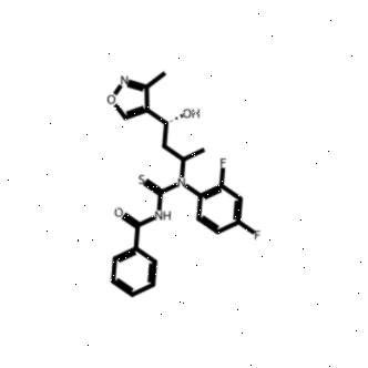 Cc1nocc1[C@H](O)CC(C)N(C(=S)NC(=O)c1ccccc1)c1ccc(F)cc1F